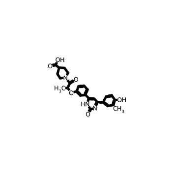 Cc1cc(-c2cc(-c3cccc(OC(C)C(=O)N4CCC(C(=O)O)CC4)c3)[nH]c(=O)n2)ccc1O